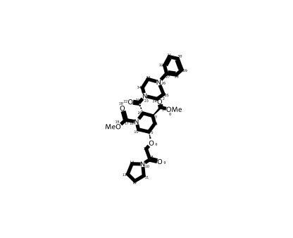 COC(=O)[C@H]1C[C@H](OCC(=O)N2CCCC2)CN(C(=O)OC)[C@@H]1C(=O)N1CCN(c2ccccc2)CC1